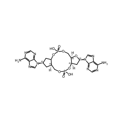 Nc1ncnc2c1ncn2[C@H]1CC2OP(=O)(O)OC[C@H]3O[C@@H](n4cnc5c(N)ncnc54)C[C@H]3OP(=O)(O)OC[C@H]2C1